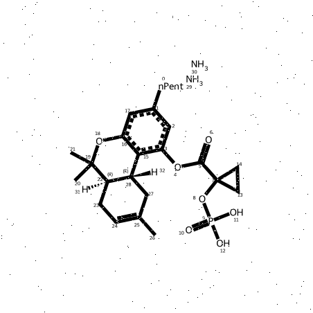 CCCCCc1cc(OC(=O)C2(OP(=O)(O)O)CC2)c2c(c1)OC(C)(C)[C@@H]1CC=C(C)C[C@@H]21.N.N